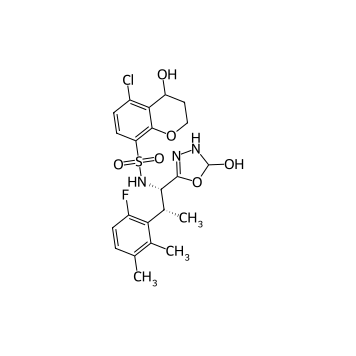 Cc1ccc(F)c([C@@H](C)[C@H](NS(=O)(=O)c2ccc(Cl)c3c2OCCC3O)C2=NNC(O)O2)c1C